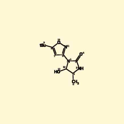 CC1NC(=O)N(c2cc(C(C)(C)C)on2)C1O